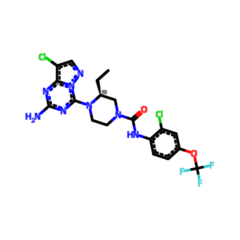 CC[C@H]1CN(C(=O)Nc2ccc(OC(F)(F)F)cc2Cl)CCN1c1nc(N)nc2c(Cl)cnn12